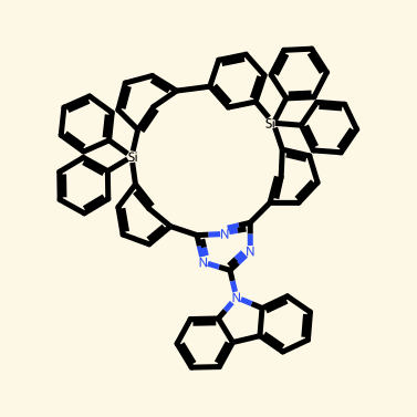 c1ccc([Si]2(c3ccccc3)c3cccc(c3)-c3cccc(c3)[Si](c3ccccc3)(c3ccccc3)c3cccc(c3)-c3nc(nc(-n4c5ccccc5c5ccccc54)n3)-c3cccc2c3)cc1